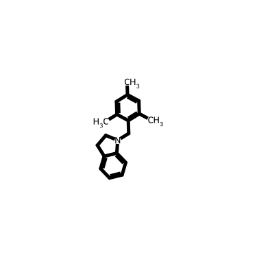 Cc1cc(C)c(CN2CCc3ccccc32)c(C)c1